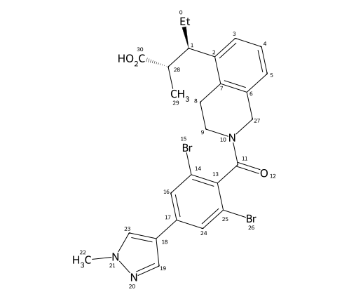 CC[C@@H](c1cccc2c1CCN(C(=O)c1c(Br)cc(-c3cnn(C)c3)cc1Br)C2)[C@H](C)C(=O)O